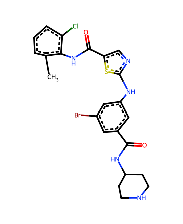 Cc1cccc(Cl)c1NC(=O)c1cnc(Nc2cc(Br)cc(C(=O)NC3CCNCC3)c2)s1